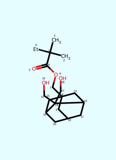 CCC(C)(C)C(=O)OCC12CC3CC(C1)C(CO)(CO)C(C3)C2